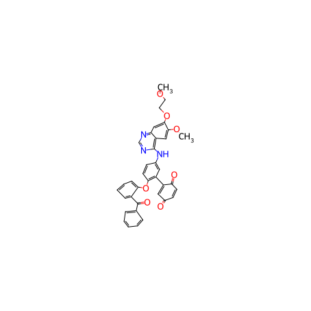 COCCOc1cc2ncnc(Nc3ccc(Oc4ccccc4C(=O)c4ccccc4)c(C4=CC(=O)C=CC4=O)c3)c2cc1OC